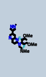 CNCCN(C(=C(\F)COC)/C(F)=C(\C)OC)c1ccc2ncc(-c3cnn(C)c3)cc2n1